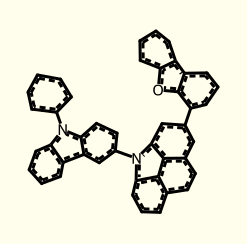 c1ccc(-n2c3ccccc3c3cc(-n4c5cccc6ccc7cc(-c8cccc9c8oc8ccccc89)cc4c7c65)ccc32)cc1